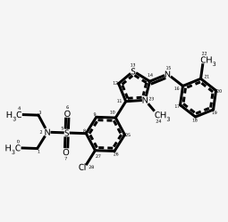 CCN(CC)S(=O)(=O)c1cc(-c2csc(=Nc3ccccc3C)n2C)ccc1Cl